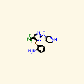 Nc1ccccc1Sc1nc(N[C@H]2CCCNC2)ncc1C(F)(F)F